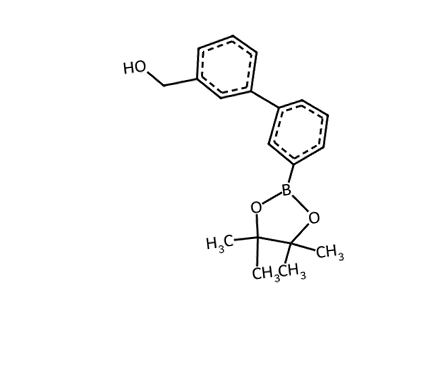 CC1(C)OB(c2cccc(-c3cccc(CO)c3)c2)OC1(C)C